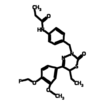 CCC(=O)Nc1ccc(CN2N=C(c3ccc(OCF)c(OC)c3)C(CC)SC2=O)cc1